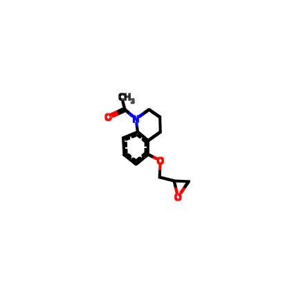 CC(=O)N1CCCc2c(OCC3CO3)cccc21